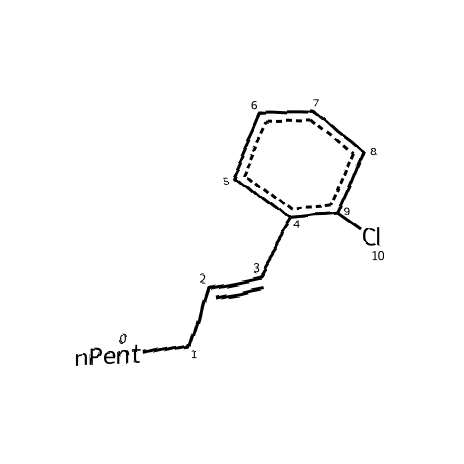 CCCCCC/C=C/c1ccccc1Cl